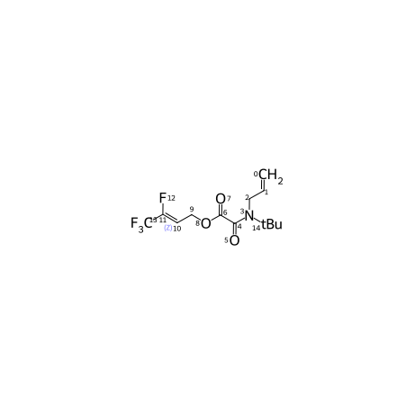 C=CCN(C(=O)C(=O)OC/C=C(\F)C(F)(F)F)C(C)(C)C